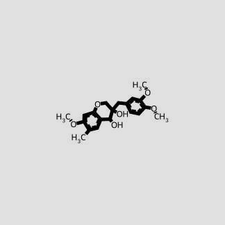 COc1cc2c(cc1C)C(O)C(O)(Cc1ccc(OC)c(OC)c1)CO2